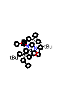 CC(C)(C)c1cccc([Si](c2ccccc2)(c2cccc(-c3ccccc3)c2)c2ccc3c(c2)B2c4ccccc4N(c4ccc(C(C)(C)C)cc4-c4ccccc4)c4cc([Si](c5ccccc5)(c5ccccc5)c5cccc(-c6ccccc6)c5)cc(c42)N3c2cccc(-c3ccccc3)c2)c1